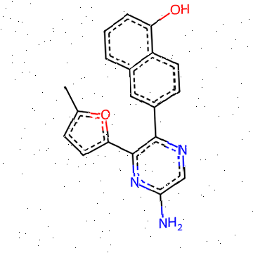 Cc1ccc(-c2nc(N)cnc2-c2ccc3c(O)cccc3c2)o1